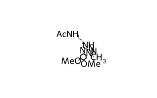 COc1cc2nc(NCCCCNC(C)=O)c3nnc(C)n3c2cc1OC